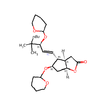 CCCCC(C)(C)[C@H](/C=C/[C@@H]1[C@H]2CC(=O)O[C@H]2C[C@H]1OC1CCCCO1)OC1CCCCO1